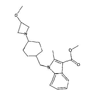 COC(=O)c1c(C)n(CC2CCC(N3CC(OC)C3)CC2)c2ccccc12